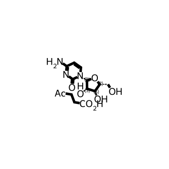 CC(=O)CCC(=O)O.Nc1ccn([C@@H]2O[C@H](CO)[C@@H](O)[C@@H]2O)c(=O)n1